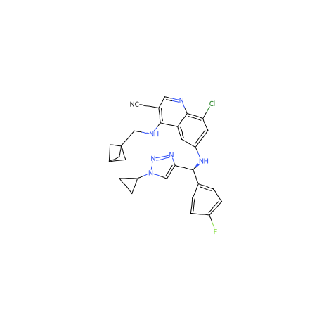 N#Cc1cnc2c(Cl)cc(N[C@@H](c3ccc(F)cc3)c3cn(C4CC4)nn3)cc2c1NCC12CC(C1)C2